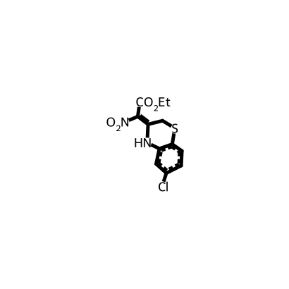 CCOC(=O)C(=C1CSc2ccc(Cl)cc2N1)[N+](=O)[O-]